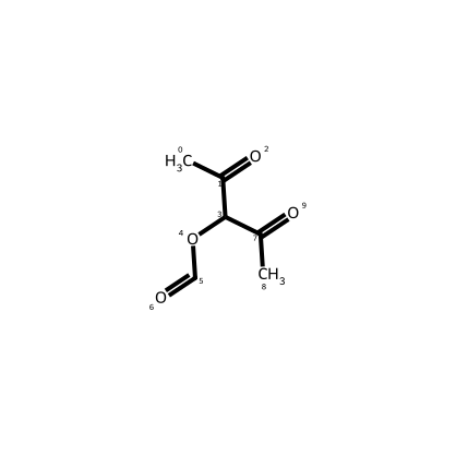 CC(=O)C(OC=O)C(C)=O